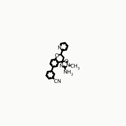 CN1OC2(CC(c3ccccn3)Oc3ccc(-c4cccc(C#N)c4)cc32)N=C1N